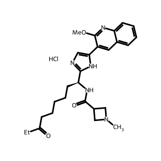 CCC(=O)CCCCC[C@H](NC(=O)C1CN(C)C1)c1ncc(-c2cc3ccccc3nc2OC)[nH]1.Cl